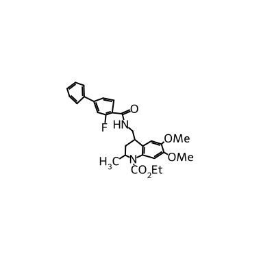 CCOC(=O)N1c2cc(OC)c(OC)cc2C(CNC(=O)c2ccc(-c3ccccc3)cc2F)CC1C